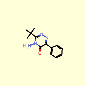 CC(C)(C)c1nnc(-c2ccccc2)c(=O)n1N